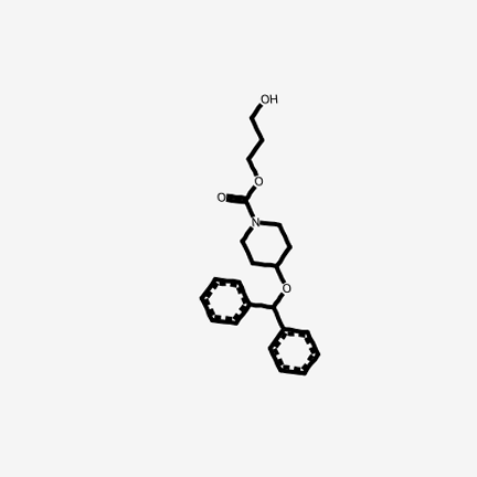 O=C(OCCCO)N1CCC(OC(c2ccccc2)c2ccccc2)CC1